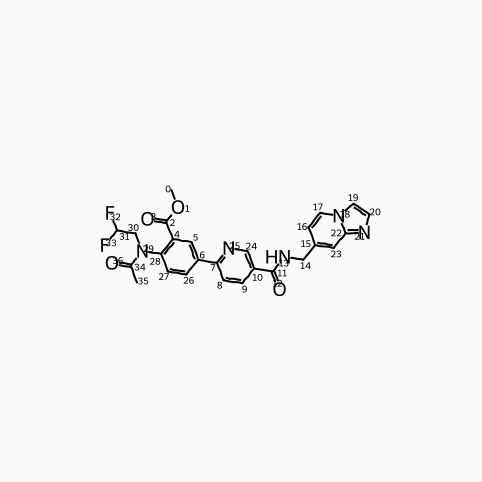 COC(=O)c1cc(-c2ccc(C(=O)NCc3ccn4ccnc4c3)cn2)ccc1N(CC(F)F)C(C)=O